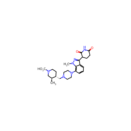 C[C@H]1CN(C(=O)O)CC[C@@H]1CN1CCN(c2cccc3c(C4CCC(=O)NC4=O)nn(C)c23)CC1